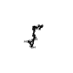 N#CC1CC(F)(F)CN1C(=O)CNC(=O)c1ccnc2ccc(OCCCN3CCN(C(=O)CNC(=O)CN4CCN(CC(=O)O)CCN(CC(=O)O)CC4)CC3)cc12